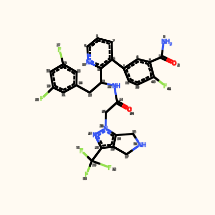 NC(=O)c1cc(-c2cccnc2C(Cc2cc(F)cc(F)c2)NC(=O)Cn2nc(C(F)(F)F)c3c2CNC3)ccc1F